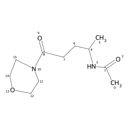 CC(=O)NC(C)CCC(=O)N1CCOCC1